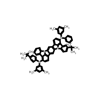 Cc1cc(C)cc(N(c2ccc(C(C)(C)C)cc2)c2ccc3c4cc5c(cc4n4c6ccccc6c2c34)c2ccc(N(c3ccccc3)c3cc(C)cc(C)c3)c3c4cc(C(C)(C)C)ccc4n5c23)c1